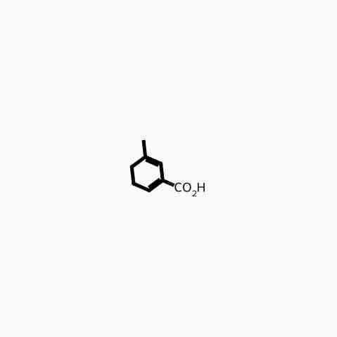 CC1=CC(C(=O)O)=CCC1